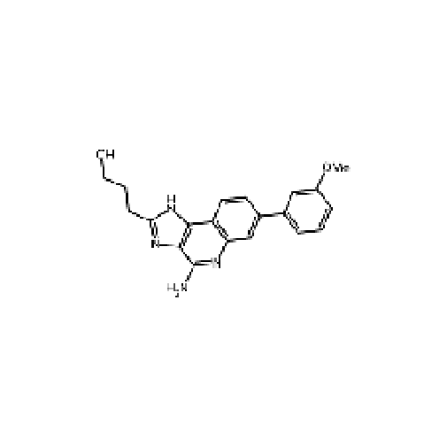 COc1cccc(-c2ccc3c(c2)nc(N)c2nc(CCCO)[nH]c23)c1